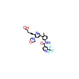 Cc1ccc(NC(=O)c2ccnc(C(F)(F)F)c2)cc1-c1cnc(C#CCCCO)c(N2CCOCC2)c1